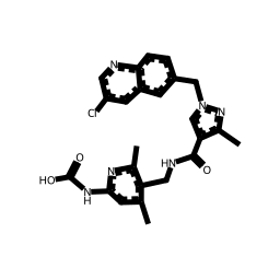 Cc1cc(NC(=O)O)nc(C)c1CNC(=O)c1cn(Cc2ccc3ncc(Cl)cc3c2)nc1C